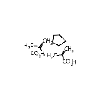 C1CCCC1.C=C(C)C(=O)O.C=C(C)C(=O)O